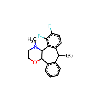 CN1CCOC2c3ccccc3C(C(C)(C)C)c3ccc(F)c(F)c3C21